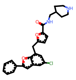 O=C(NCC1CCNCC1)c1ccc(Cc2cc(Cl)cc3cc(-c4ccccc4)oc23)o1